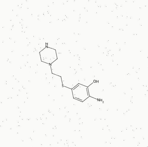 Nc1ccc(SCCN2CCNCC2)cc1O